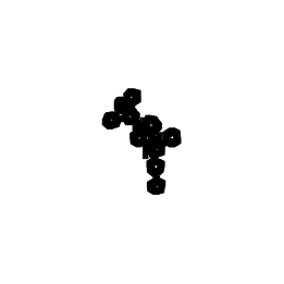 c1ccc(-c2ccc(-c3cc(-c4ccccc4)nc(-c4cccc5c4c4ccccc4n5-c4cc(-c5ccccc5)c5oc6ccccc6c5c4)n3)cc2)cc1